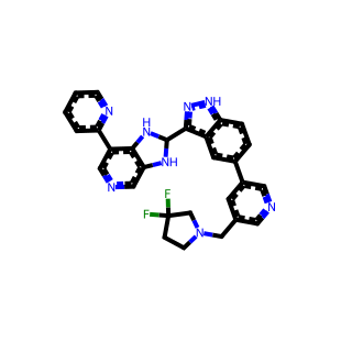 FC1(F)CCN(Cc2cncc(-c3ccc4[nH]nc(C5Nc6cncc(-c7ccccn7)c6N5)c4c3)c2)C1